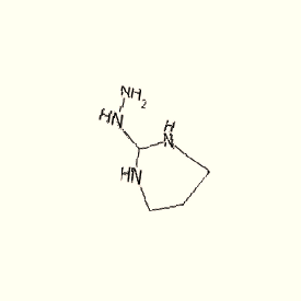 NNC1NCCCN1